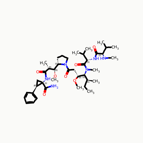 CC[C@H](C)[C@@H]([C@@H](CC(=O)N1CCC[C@H]1[C@H](OC)[C@@H](C)C(=O)N[C@@]1(C(N)=O)C[C@@H]1c1ccccc1)OC)N(C)C(=O)[C@@H](NC(=O)[C@@H](NC)C(C)C)C(C)C